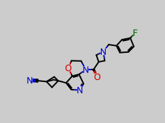 N#CC12CC(c3cncc4c3OCCN4C(=O)C3CN(Cc4cccc(F)c4)C3)(C1)C2